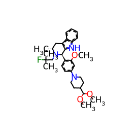 COc1cc(N2CCC(C(OC)OC)CC2)ccc1[C@@H]1c2[nH]c3ccccc3c2C[C@@H](C)N1CC(C)(C)F